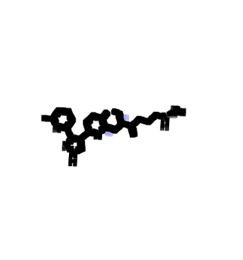 C=C(CCCN[C@H](C)CC)C(=C/C)/C=c1/nc(-c2c[nH]nc2-c2cccc(C)n2)ccc1=C